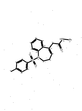 Cc1ccc(S(=O)(=O)N2CCC=C(CC(=O)NC(C)C)c3ccccc32)cc1